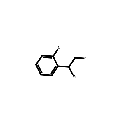 CCC(CCl)c1ccccc1Cl